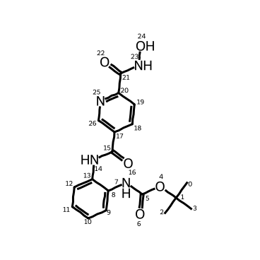 CC(C)(C)OC(=O)Nc1ccccc1NC(=O)c1ccc(C(=O)NO)nc1